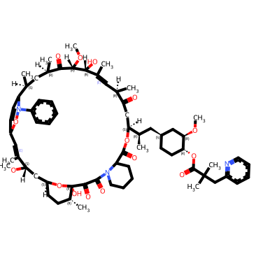 CO[C@H]1C[C@@H]2CC[C@@H](C)[C@@](O)(O2)C(=O)C(=O)N2CCCCC2C(=O)O[C@H]([C@H](C)C[C@@H]2CC[C@@H](OC(=O)C(C)(C)Cc3ccccn3)[C@H](OC)C2)CC(=O)[C@H](C)/C=C(\C)[C@@H](O)[C@@H](OC)C(=O)[C@H](C)C[C@H](C)C2C=CC(/C=C/1C)ON2c1ccccc1